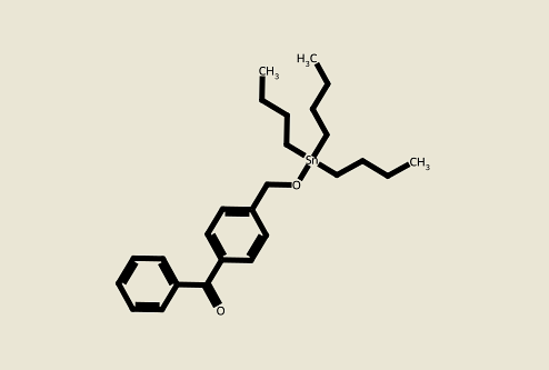 CCC[CH2][Sn]([CH2]CCC)([CH2]CCC)[O]Cc1ccc(C(=O)c2ccccc2)cc1